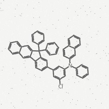 Clc1cc(-c2ccc3c(c2)C(c2ccccc2)(c2ccccc2)c2cc4ccccc4cc2-3)cc(N(c2ccccc2)c2ccc3ccccc3c2)c1